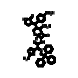 Nc1nc(C(=NOC(c2ccccc2)(c2ccccc2)c2ccccc2)C(=O)N[C@@H]2C(=O)N3C(C(=O)O)=C(C(=C4CCNC4=O)c4ccc(C(=O)O)cc4)CS[C@H]23)cs1